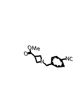 [C-]#[N+]c1ccc(CN2CC(C(=O)OC)C2)cc1